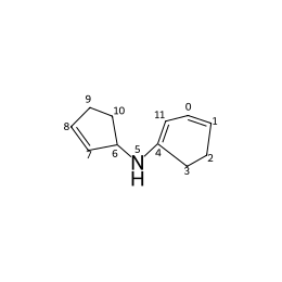 C1=CCCC(NC2C=CCC2)=C1